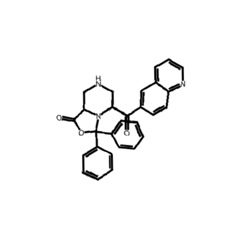 O=C1OC(c2ccccc2)(c2ccccc2)N2C1CNCC2C(=O)c1ccc2ncccc2c1